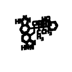 CC(C)(c1ccccc1O)C(C)(C)C(C)(Cc1cccc2[nH]nnc12)c1cccc2[nH]nnc12